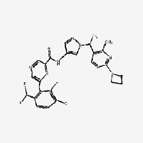 Cc1nc(N2CCC2)ncc1C(C)n1cc(NC(=O)c2cncc(-c3c(C(F)F)ccc(Cl)c3F)n2)cn1